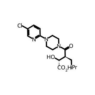 CC(C)C[C@H](C(=O)N1CCN(c2ccc(Cl)cn2)CC1)[C@@H](O)C(=O)O